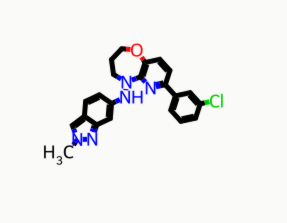 Cn1cc2ccc(NN3CCCOc4ccc(-c5cccc(Cl)c5)nc43)cc2n1